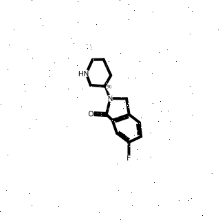 O=C1c2cc(F)ccc2CN1[C@@H]1CCCNC1